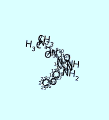 CN(C)CC=CC(=O)N1CCC[C@@H](n2cc(-c3ccc(Oc4ccccc4)cc3)c3c(N)n[nH]c(=O)c32)C1